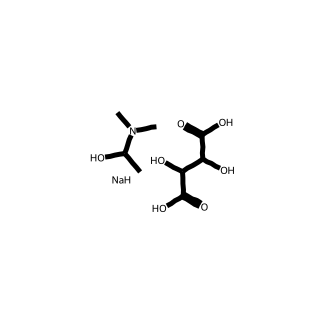 CC(O)N(C)C.O=C(O)C(O)C(O)C(=O)O.[NaH]